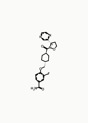 NC(=O)c1ccc(OC[C@H]2CC[C@H](C(=O)N3OCC[C@H]3c3cnccn3)CC2)c(F)c1